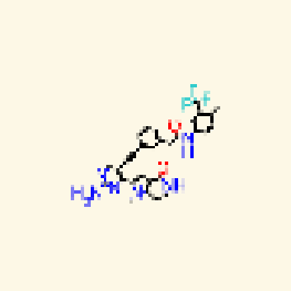 Cc1ccc(NC(=O)Cc2cccc(C#Cc3cnc(N)nc3-c3cc4c(n3C)CCNC4=O)c2)cc1C(F)(F)F